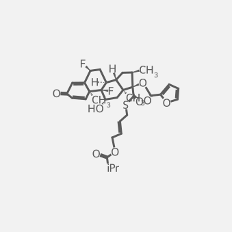 CC(C)C(=O)OC/C=C/CSC(=O)[C@@]1(OC(=O)c2ccco2)[C@H](C)C[C@H]2[C@@H]3C[C@H](F)C4=CC(=O)C=C[C@]4(C)[C@@]3(F)[C@@H](O)C[C@@]21C